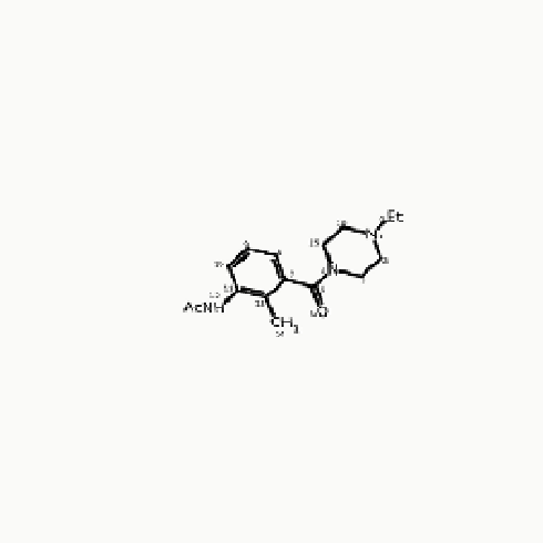 CCN1CCN(C(=O)c2cccc(NC(C)=O)c2C)CC1